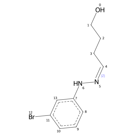 OCCC/C=N\Nc1cccc(Br)c1